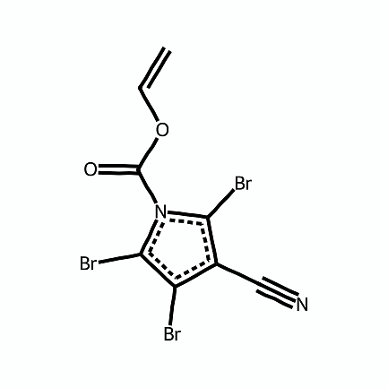 C=COC(=O)n1c(Br)c(Br)c(C#N)c1Br